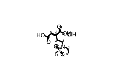 CCN(CC/C(=C\C(=O)O)C(=O)O)S(C)(=O)=O.Cl